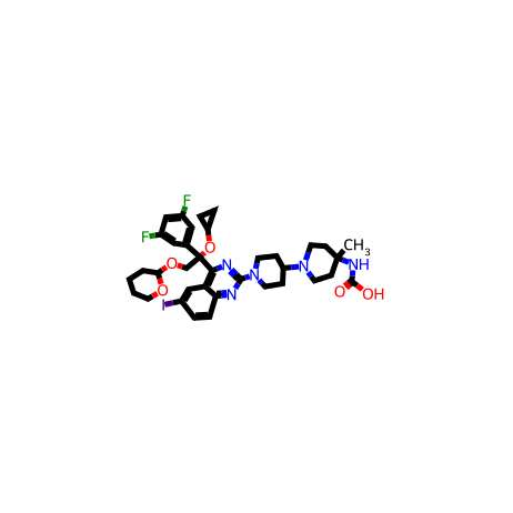 CC1(NC(=O)O)CCN(C2CCN(c3nc(C(COC4CCCCO4)(OC4CC4)c4cc(F)cc(F)c4)c4cc(I)ccc4n3)CC2)CC1